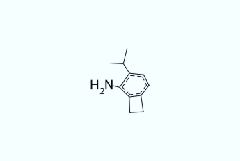 CC(C)c1ccc2c(c1N)CC2